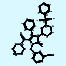 COc1cccc(Cn2c(C(=O)N3CCNCC3)c(-c3ccccc3)n(C3CCCN(S(=O)(=O)c4ccccc4)C3)c2=O)c1